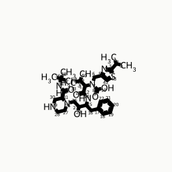 CC(C)c1nc(CN(C(=O)O)C(C(=O)NC(Cc2ccccc2)C(O)CN2CCNCC2C(=O)NC(C)(C)C)C(C)C)cs1